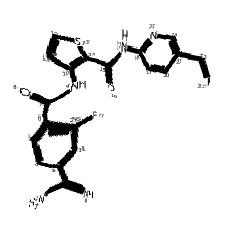 N=C(N)c1ccc(C(=O)Nc2ccsc2C(=O)Nc2ccc(CI)cn2)c(F)c1